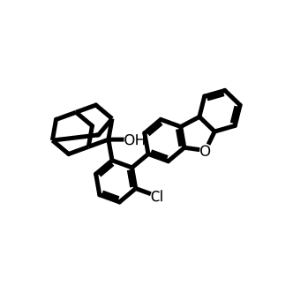 OC1(c2cccc(Cl)c2-c2ccc3c(c2)OC2C=CC=CC32)C2CC3CC(C2)CC1C3